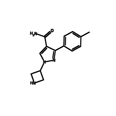 Cc1ccc(-c2nn(C3CNC3)cc2C(N)=O)cc1